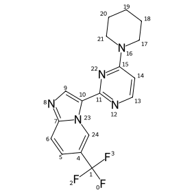 FC(F)(F)c1ccc2ncc(-c3nccc(N4CCCCC4)n3)n2c1